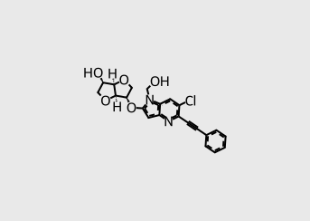 OCn1c(O[C@@H]2CO[C@H]3[C@@H]2OC[C@H]3O)cc2nc(C#Cc3ccccc3)c(Cl)cc21